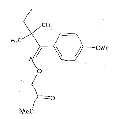 COC(=O)CO/N=C(\c1ccc(OC)cc1)C(C)(C)CI